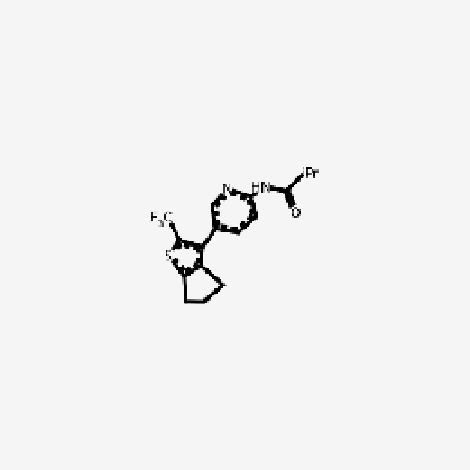 CC(C)C(=O)Nc1ccc(-c2c(C(F)(F)F)sc3c2CCC3)cn1